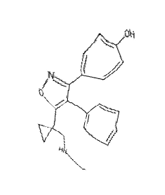 CNCC1(c2onc(-c3ccc(O)cc3)c2-c2ccccc2)CC1